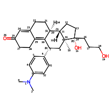 CN(C)c1ccc([C@H]2C[C@@]3(C)[C@@H](CC[C@@]3(O)CCCO)[C@@H]3CCC4=CC(=O)CCC4=C32)cc1